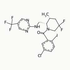 C[C@@H]1CC(F)(F)CN(C(=O)c2cc(Cl)ccc2I)[C@@H]1CNc1ncc(C(F)(F)F)cn1